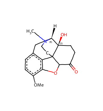 COc1ccc2c3c1OC1C(=O)CC[C@@]4(O)[C@@H](C2)N(C)CCC314